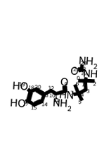 CC(C)(CC(C)(C)NC(=O)[C@H](N)Cc1ccc(O)c(O)c1)NC(N)=O